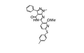 COc1nc(Sc2ccc(C)cc2)ccc1-c1nc2c(c(-c3ccccc3)nn2C)c(=O)[nH]1